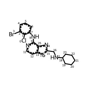 Clc1c(Br)cccc1Nc1nccc2sc(CNC3CCCCC3)nc12